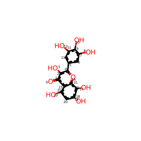 O=c1c(O)c(-c2cc(O)c(O)c(O)c2)oc2c(O)c(O)cc(O)c12